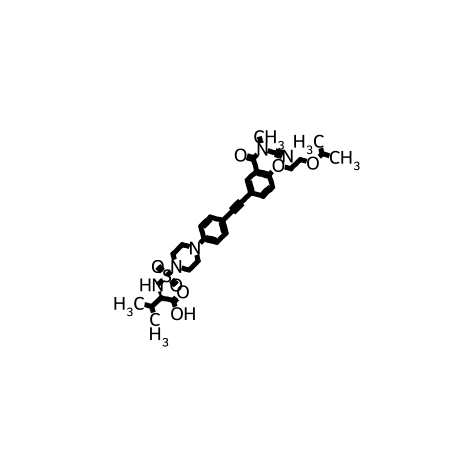 CC(C)OCCOc1ccc(C#Cc2ccc(N3CCN(S(=O)(=O)N[C@@H](C(=O)O)C(C)C)CC3)cc2)cc1C(=O)N(C)C#N